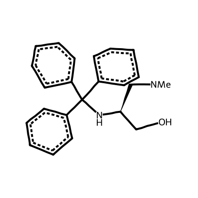 CNC[C@@H](CO)NC(c1ccccc1)(c1ccccc1)c1ccccc1